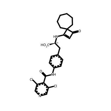 O=C(Nc1ccc(C[C@H](NC2=CC(=O)C23CCCCCC3)C(=O)O)cc1)c1c(Cl)cncc1Cl